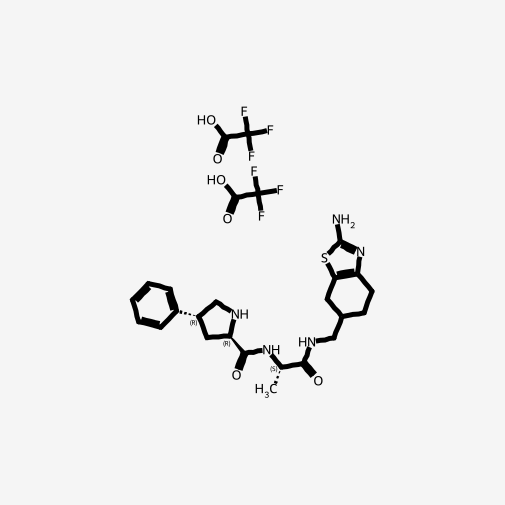 C[C@H](NC(=O)[C@H]1C[C@H](c2ccccc2)CN1)C(=O)NCC1CCc2nc(N)sc2C1.O=C(O)C(F)(F)F.O=C(O)C(F)(F)F